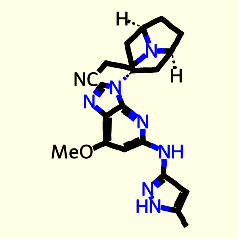 COc1cc(Nc2cc(C)[nH]n2)nc2c1ncn2[C@@H]1C[C@H]2CC[C@@H](C1)N2CCC#N